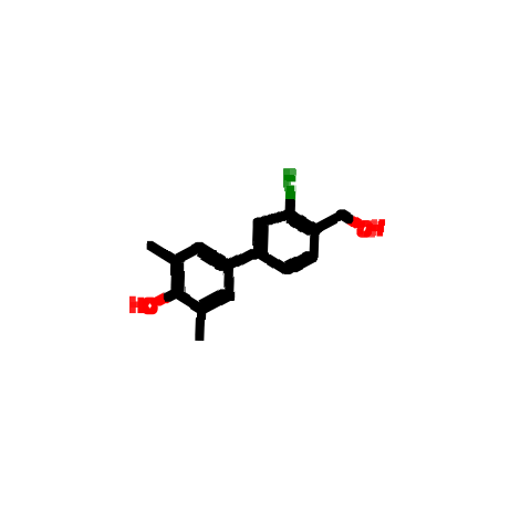 Cc1cc(-c2ccc(CO)c(F)c2)cc(C)c1O